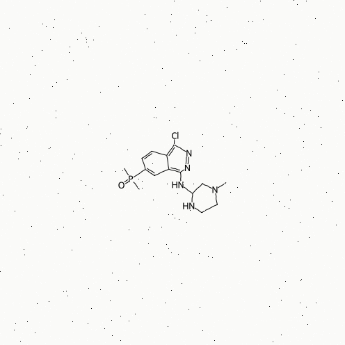 CN1CCNC(Nc2nnc(Cl)c3ccc(P(C)(C)=O)cc23)C1